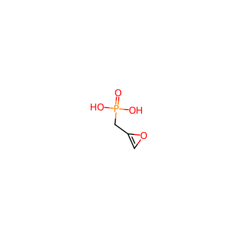 O=P(O)(O)CC1=CO1